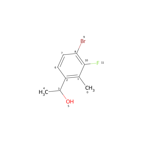 Cc1c(C(C)O)ccc(Br)c1F